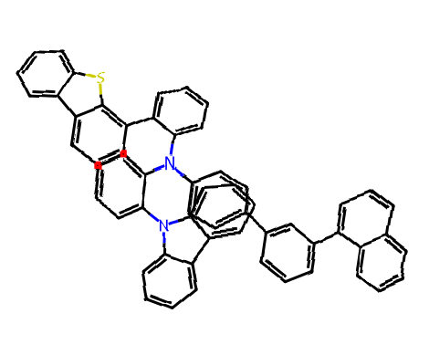 c1cc(-c2ccc(N(c3ccccc3-c3cccc4c3sc3ccccc34)c3ccccc3-n3c4ccccc4c4ccccc43)cc2)cc(-c2cccc3ccccc23)c1